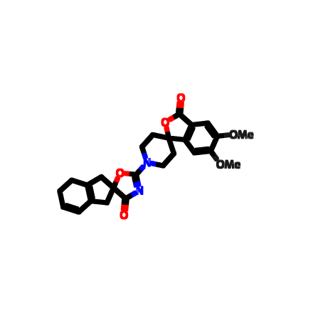 COc1cc2c(cc1OC)C1(CCN(C3=NC(=O)C4(CC5=C(CCC=C5)C4)O3)CC1)OC2=O